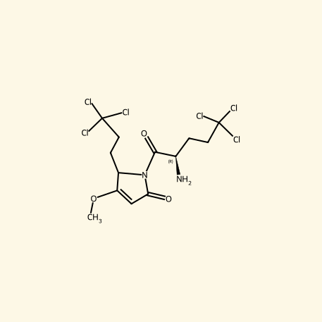 COC1=CC(=O)N(C(=O)[C@H](N)CCC(Cl)(Cl)Cl)C1CCC(Cl)(Cl)Cl